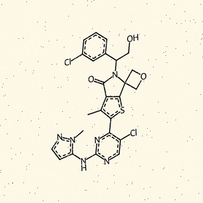 Cc1c(-c2nc(Nc3ccnn3C)ncc2Cl)sc2c1C(=O)N(C(CO)c1cccc(Cl)c1)C21COC1